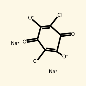 O=C1C([O-])=C(Cl)C(=O)C([O-])=C1Cl.[Na+].[Na+]